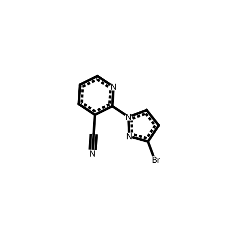 N#Cc1cccnc1-n1[c]cc(Br)n1